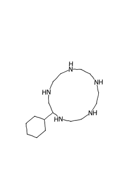 C1CCC(C2CNCCNCCNCCNCCN2)CC1